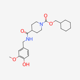 COc1cc(CNC(=O)C2CCN(C(=O)OCC3CCCCC3)CC2)ccc1O